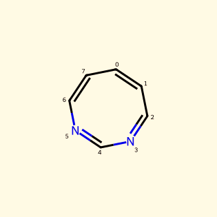 C1=CC=NC=NC=C1